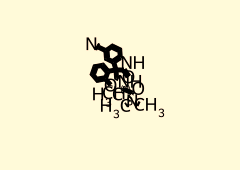 COc1ccccc1C1(CN[C@@H](C)C(=O)N(C)C)C(=O)Nc2ccc(C#N)cc21